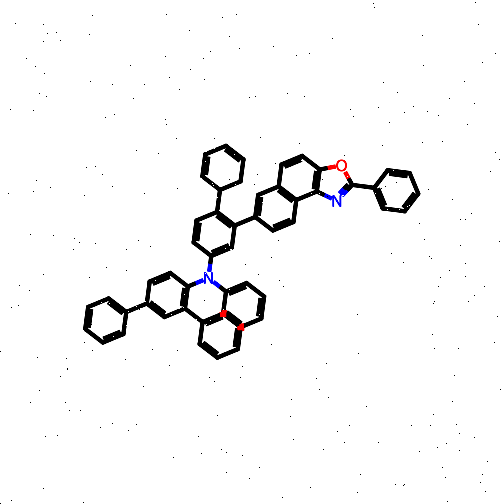 C1=CCC(c2ccc(N(c3ccccc3)c3ccc(-c4ccccc4)cc3-c3ccccc3)cc2-c2ccc3c(ccc4oc(-c5ccccc5)nc43)c2)C=C1